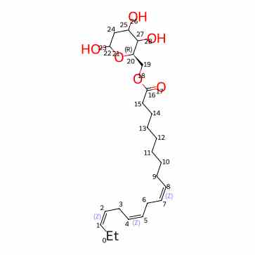 CC/C=C\C/C=C\C/C=C\CCCCCCCC(=O)OC[C@H]1OC(O)CC(O)C1O